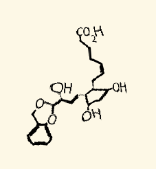 O=C(O)CCC/C=C\C[C@@H]1[C@@H](/C=C/[C@@H](O)[C@@H]2OCc3ccccc3O2)[C@H](O)C[C@@H]1O